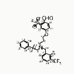 CC(C)(CN(CCCOc1ccc(C=O)c(S(C)(=O)=O)c1)Cc1cccc(C(F)(F)F)c1F)c1ccccc1